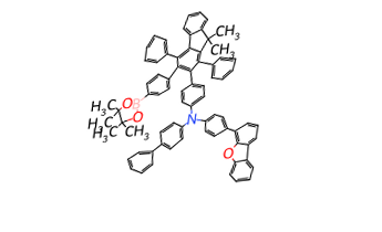 CC1(C)c2ccccc2-c2c(-c3ccccc3)c(-c3ccc(B4OC(C)(C)C(C)(C)O4)cc3)c(-c3ccc(N(c4ccc(-c5ccccc5)cc4)c4ccc(-c5cccc6c5oc5ccccc56)cc4)cc3)c(-c3ccccc3)c21